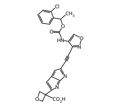 CC(OC(=O)Nc1conc1C#CC1=NC2=NC(C3(C(=O)O)COC3)=CC2=C1)c1ccccc1Cl